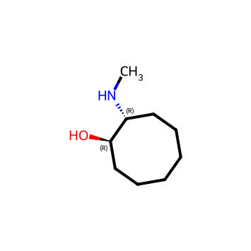 CN[C@@H]1CCCCCC[C@H]1O